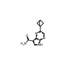 NC(=O)c1c[nH]c2ncc(C34CC(C3)C4)nc12